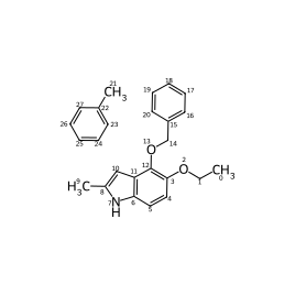 CCOc1ccc2[nH]c(C)cc2c1OCc1ccccc1.Cc1ccccc1